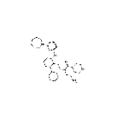 NCCN(CCC1C(Nc2nccc(N3CCCCCC3)n2)CCCN1C1CCCCC1)C(=O)C1CCNCC1